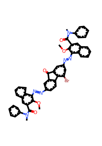 COc1c(C(=O)N(C)c2ccccc2)cc2ccccc2c1N=Nc1ccc2c(c1)C(=O)c1cc(N=Nc3c(OC)c(C(=O)N(C)c4ccccc4)cc4ccccc34)cc(Br)c1-2